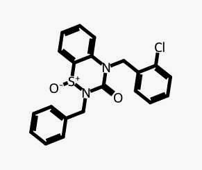 O=C1N(Cc2ccccc2Cl)c2ccccc2[S+]([O-])N1Cc1ccccc1